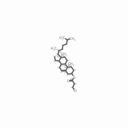 CC(C)CCC[C@@H](C)[C@H]1CCC2C3CC=C4CC(OC(=O)CCCl)CC[C@]4(C)C3CC[C@@]21C